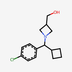 OCC1CN(C(c2ccc(Cl)cc2)C2CCC2)C1